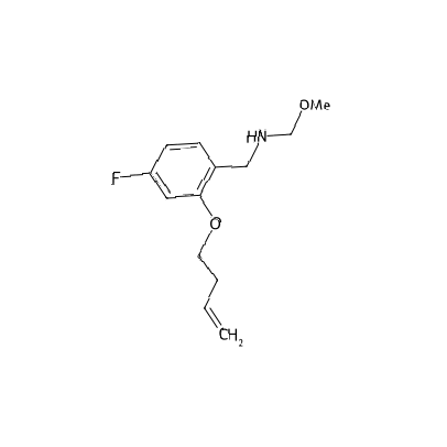 C=CCCOc1cc(F)ccc1CNCOC